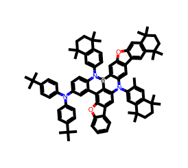 Cc1cc2c(cc1N1c3cc4c(cc3B3c5c1cc1c(oc6ccccc61)c5-c1cc(N(c5ccc(C(C)(C)C)cc5)c5ccc(C(C)(C)C)cc5)ccc1N3c1ccc3c(c1)C(C)(C)CCC3(C)C)oc1cc3c(cc14)C(C)(C)CCC3(C)C)C(C)(C)CCC2(C)C